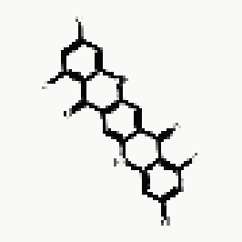 O=c1c2cc3[nH]c4cc(Cl)cc(Cl)c4c(=O)c3cc2[nH]c2cc(Cl)cc(Cl)c12